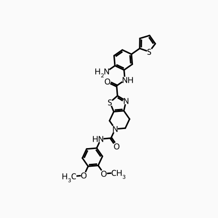 COc1ccc(NC(=O)N2CCc3nc(C(=O)Nc4cc(-c5cccs5)ccc4N)sc3C2)cc1OC